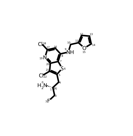 N[C@@H](CF)Cc1sc2c(NCc3ccco3)cc(Cl)nc2c1Cl